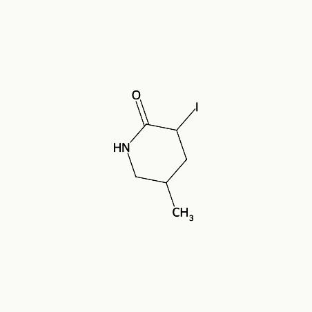 CC1CNC(=O)C(I)C1